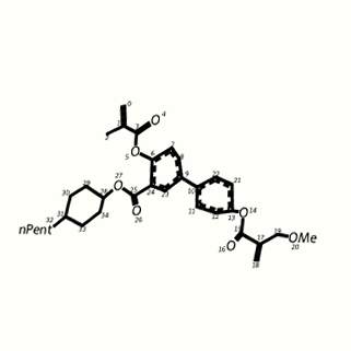 C=C(C)C(=O)Oc1ccc(-c2ccc(OC(=O)C(=C)COC)cc2)cc1C(=O)OC1CCC(CCCCC)CC1